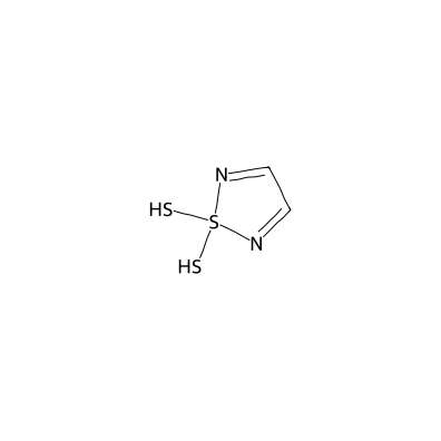 SS1(S)N=CC=N1